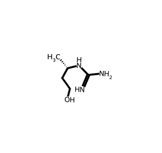 C[C@@H](CCO)NC(=N)N